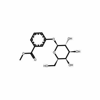 COC(=O)c1cccc(O[C@@H]2O[C@H](CO)[C@H](O)[C@H](O)[C@H]2O)c1